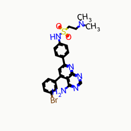 CN(C)CCS(=O)(=O)Nc1ccc(-c2cc(-c3cccc(Br)c3)c3c(N)ncnc3n2)cc1